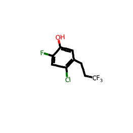 Oc1cc(CCC(F)(F)F)c(Cl)cc1F